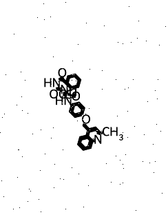 Cc1cc(COc2ccc(NS(=O)(=O)C3CCCCC34NC(=O)NC4=O)cc2)c2ccccc2n1